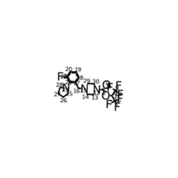 O=C(OC(C(F)(F)F)C(F)(F)F)N1CCN(Cc2cccc(F)c2N2CCCC2)CC1